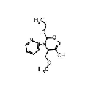 CCOC(=O)NC(COC)C(=O)O.c1ccncc1